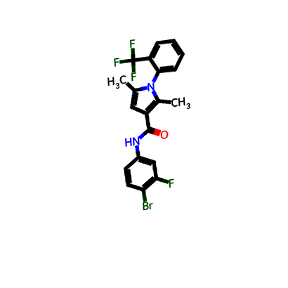 Cc1cc(C(=O)Nc2ccc(Br)c(F)c2)c(C)n1-c1ccccc1C(F)(F)F